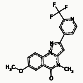 COc1ccc2c(c1)c(=O)n(C)c1cc(-c3ccnc(C(F)(F)F)c3)nn21